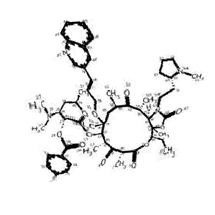 CC[C@H]1OC(=O)[C@H](C)C(=O)[C@H](C)[C@@H](O[C@@H]2O[C@H](C)C[C@H](N(C)C)[C@H]2OC(=O)c2ccccc2)[C@](C)(OC/C=C/c2cnc3ccccc3c2)C[C@@H](C)C(=O)[C@H](C)[C@H]2N(CC[C@@H]3CCCN3C)C(=O)O[C@]12C